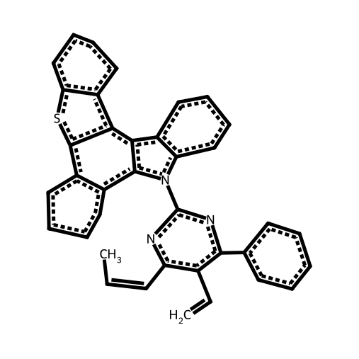 C=Cc1c(/C=C\C)nc(-n2c3ccccc3c3c4c5ccccc5sc4c4ccccc4c32)nc1-c1ccccc1